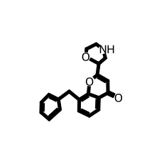 O=c1cc(C2CNCCO2)oc2c(Cc3ccccc3)cccc12